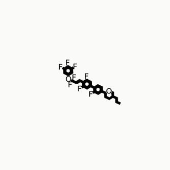 CCCC1CCC(c2ccc(-c3cc(F)c(/C=C/C(F)(F)Oc4cc(F)c(F)c(F)c4)c(F)c3)c(F)c2)OC1